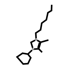 CCCCCCCN1CN(C2CCCCC2)C(C)=C1C